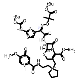 BOC(=O)C1=C(C[N+]2(CCNC(=O)c3cc(=O)c(OP)c[nH]3)CCCC2)CS[C@@H]2[C@H](NC(=O)/C(=N\OC(C)(C)C(=O)OC(C)(C)C)c3csc(NC(=O)OC(C)(C)C)n3)C(=O)N12